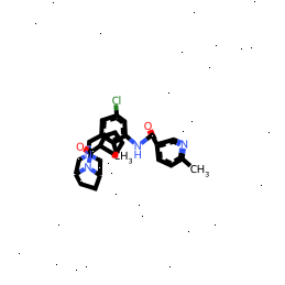 Cc1ccc(C(=O)Nc2cc(Cl)cc(CN3CC4CCC(C3)N4C(=O)C3CCCC3)c2C)cn1